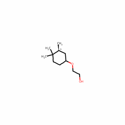 C[C@H]1CC(OCCO)CCC1(C)C